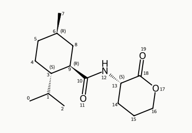 CC(C)[C@@H]1CC[C@@H](C)C[C@H]1C(=O)N[C@H]1CCCOC1=O